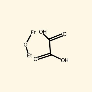 CCOCC.O=C(O)C(=O)O